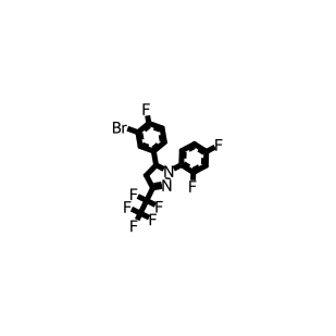 Fc1ccc(N2N=C(C(F)(F)C(F)(F)F)CC2c2ccc(F)c(Br)c2)c(F)c1